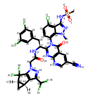 Cn1nc(NS(C)(=O)=O)c2c(Cl)ccc(-n3c([C@H](Cc4cc(F)cc(F)c4)NC(=O)Cn4nc(C(F)F)c5c4C(F)(F)[C@@H]4C[C@H]54)nc4ncc(C#N)cc4c3=O)c21